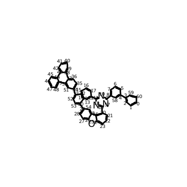 c1ccc(-c2cccc(-c3nc(-c4ccccc4)nc(-c4cccc5oc6ccc(-c7ccc(-c8ccc9c%10ccccc%10c%10ccccc%10c9c8)cc7)cc6c45)n3)c2)cc1